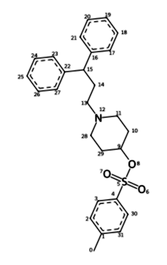 Cc1ccc(S(=O)(=O)OC2CCN(CCC(c3ccccc3)c3ccccc3)CC2)cc1